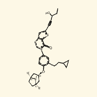 CCC(O)C#Cc1cc2ncn(-c3ccc(O[C@H]4C[C@H]5CC[C@@H](C4)N5C)c(CCC4CC4)c3)c(=O)c2s1